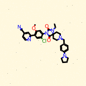 CCN1C(=O)N(c2cc(OC)c(-c3cc(C#N)ccn3)cc2Cl)C(=O)C12CCN(Cc1ccc(N3CCCC3)cc1)CC2